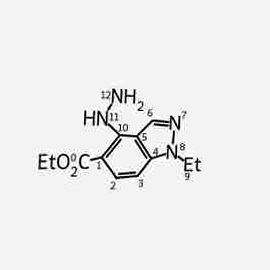 CCOC(=O)c1ccc2c(cnn2CC)c1NN